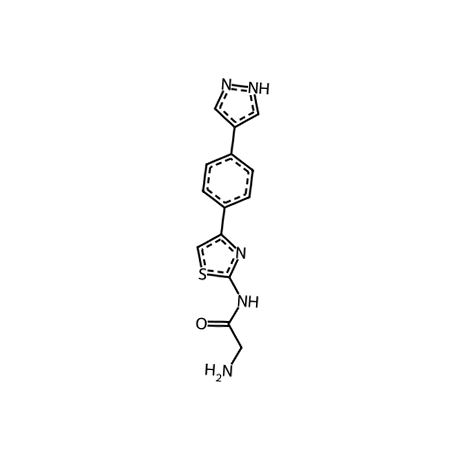 NCC(=O)Nc1nc(-c2ccc(-c3cn[nH]c3)cc2)cs1